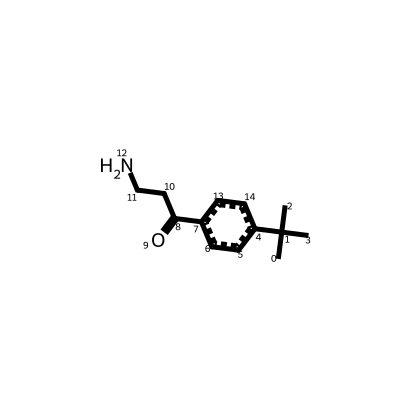 CC(C)(C)c1ccc(C(=O)CCN)cc1